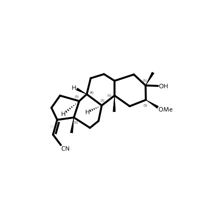 CO[C@H]1C[C@@]2(C)C(CC[C@@H]3[C@@H]2CC[C@]2(C)/C(=C\C#N)CC[C@@H]32)C[C@]1(C)O